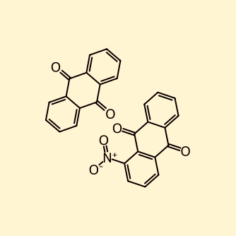 O=C1c2ccccc2C(=O)c2c1cccc2[N+](=O)[O-].O=C1c2ccccc2C(=O)c2ccccc21